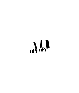 C=C.CCCC.CCCC